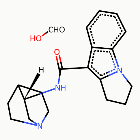 O=C(N[C@@H]1CN2CCC1CC2)c1c2n(c3ccccc13)CCC2.O=CO